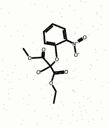 CCOC(=O)C(Cl)(Oc1ccccc1[N+](=O)[O-])C(=O)OC